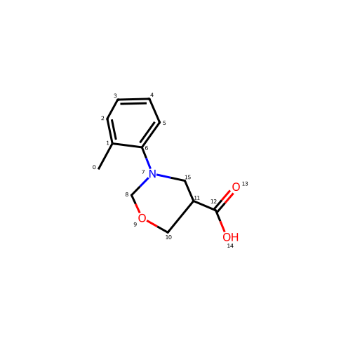 Cc1ccccc1N1COCC(C(=O)O)C1